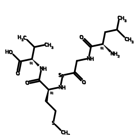 CSCC[C@H](N[Se]C(=O)CNC(=O)[C@@H](N)CC(C)C)C(=O)N[C@H](C(=O)O)C(C)C